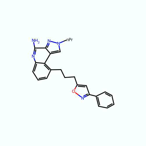 CCCn1cc2c(n1)c(N)nc1cccc(CCCc3cc(-c4ccccc4)no3)c12